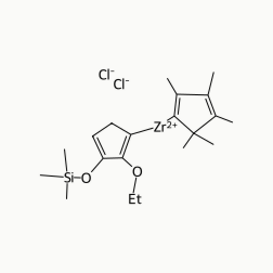 CCOC1=[C]([Zr+2][C]2=C(C)C(C)=C(C)C2(C)C)CC=C1O[Si](C)(C)C.[Cl-].[Cl-]